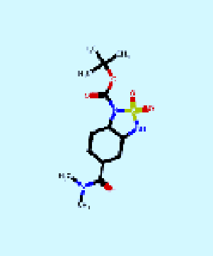 CN(C)C(=O)[C@H]1CCC2C(C1)NS(=O)(=O)N2C(=O)OC(C)(C)C